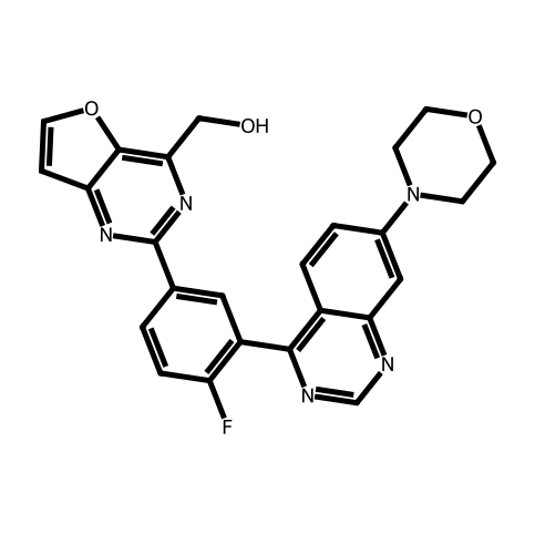 OCc1nc(-c2ccc(F)c(-c3ncnc4cc(N5CCOCC5)ccc34)c2)nc2ccoc12